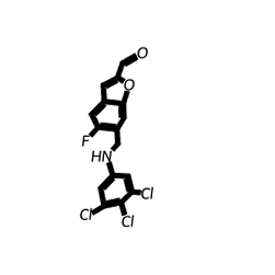 O=Cc1cc2cc(F)c(CNc3cc(Cl)c(Cl)c(Cl)c3)cc2o1